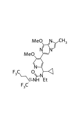 CCN(C(=O)N[C@@H](CCC(F)(F)F)C(F)(F)F)C(c1cc(-c2cn3cc(C)nc3c(OC)n2)c(OC)cn1)C1CC1